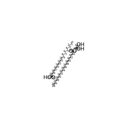 CCCCCCCCCCCCCCCCCCCCCC(=O)O.CCCCCCCCCCCCCCCCCCCCCC(=O)OCC(O)CO